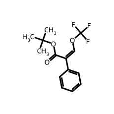 CC(C)(C)OC(=O)C(=COC(F)(F)F)c1ccccc1